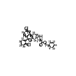 CC1(CNC(=O)OCc2ccccc2)CCN(c2nc(Cl)cnc2C(=O)c2ccccc2Cl)CC1